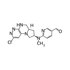 CN(c1ccc(C=O)cn1)[C@@H]1C[C@@H]2CNc3nnc(Cl)cc3N2C1